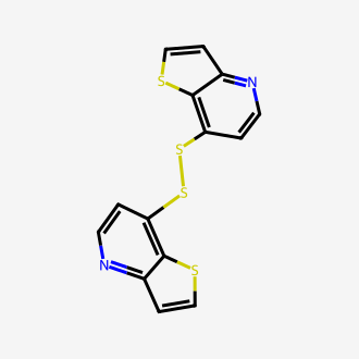 c1cc(SSc2ccnc3ccsc23)c2sccc2n1